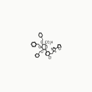 O=C(O)[C@H]1O[C@@H](c2ccc(Cl)c(Cc3ncc(-c4ccco4)s3)c2)[C@H](OCc2ccccc2)[C@@H](OCc2ccccc2)[C@@H]1OCc1ccccc1